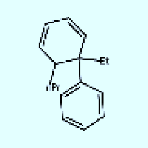 CCCC1C=CC=CC1(CC)c1ccccc1